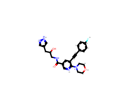 O=C(NCC(O)Cc1cn[nH]c1)c1cnc(N2CCOCC2)c(C#Cc2ccc(F)cc2)c1